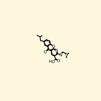 CC(C)Cc1ccc2oc3nc(N=CN(C)C)c(C(=O)O)cc3c(=O)c2c1